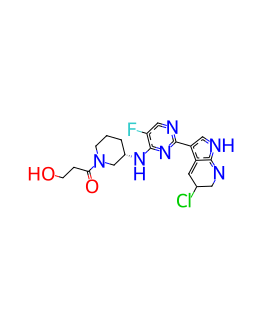 O=C(CCO)N1CCC[C@H](Nc2nc(-c3c[nH]c4c3=CC(Cl)CN=4)ncc2F)C1